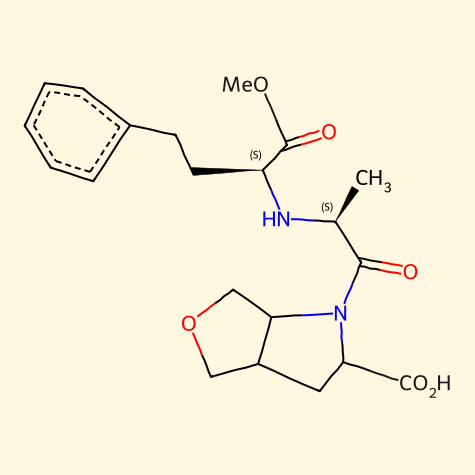 COC(=O)[C@H](CCc1ccccc1)N[C@@H](C)C(=O)N1C(C(=O)O)CC2COCC21